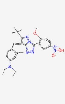 CCN(CC)c1ccc(/C=c2/c(C(C)(C)C)nn3c(-c4cc([NH+]([O-])O)ccc4OC)nnc23)c(C)c1